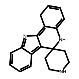 C1=CCC2=C3N=c4ccccc4=C3C3(CCNCC3)NC2=C1